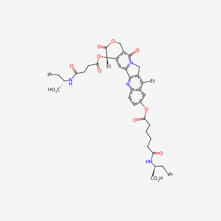 CCc1c2c(nc3ccc(OC(=O)CCCCC(=O)N[C@@H](CC(C)C)C(=O)O)cc13)-c1cc3c(c(=O)n1C2)COC(=O)[C@@]3(CC)OC(=O)CCC(=O)N[C@@H](CC(C)C)C(=O)O